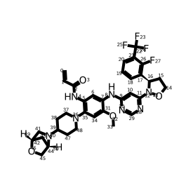 C=CC(=O)Nc1cc(Nc2cc(N3OCC[C@@H]3c3cccc(C(F)(F)F)c3F)ncn2)c(OC)cc1N1CCC(N2C[C@@H]3C[C@H]2CO3)CC1